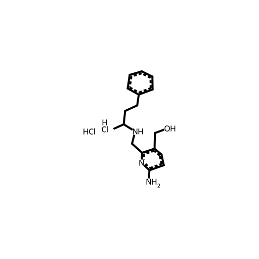 CC(CCc1ccccc1)NCc1nc(N)ccc1CO.Cl.Cl